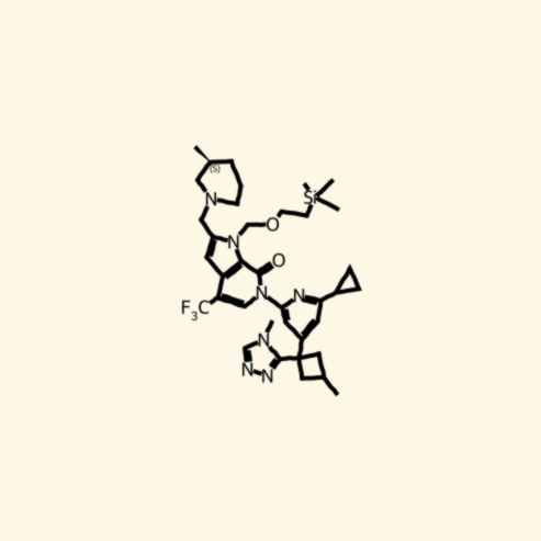 CC1CC(c2cc(C3CC3)nc(-n3cc(C(F)(F)F)c4cc(CN5CCC[C@H](C)C5)n(COCC[Si](C)(C)C)c4c3=O)c2)(c2nncn2C)C1